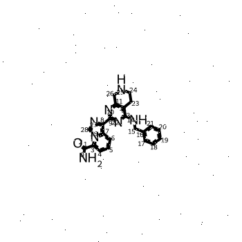 NC(=O)c1cccc2c(-c3nc4c(c(NCc5ccccc5)n3)CCNC4)ncn12